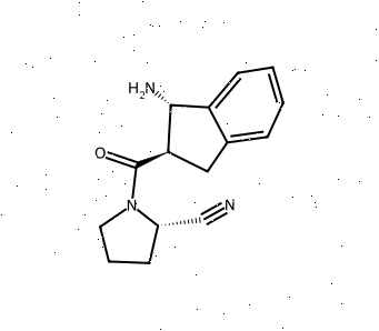 N#C[C@@H]1CCCN1C(=O)[C@@H]1Cc2ccccc2[C@H]1N